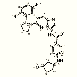 O=C(Nc1cnc2ccc(N3CCC[C@@H]3c3cc(F)ccc3F)nn12)c1ccc(NC2CCC(O)C2)nc1